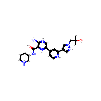 CC(C)(O)Cn1cc(-c2cc(-c3cnc(N)c(C(=O)N[C@H]4CCCNC4)n3)ccn2)cn1